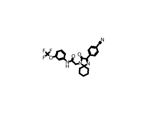 N#Cc1ccc(C2=NC3(CCCCC3)N(CC(=O)Nc3cccc(OC(F)(F)F)c3)C2=O)cc1